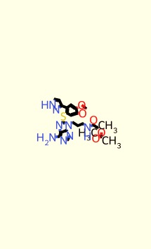 CC(=O)OC(C)(C)C(=O)NCCCn1c(Sc2cc3c(cc2-c2cc[nH]n2)OCO3)nc2c(N)ncnc21